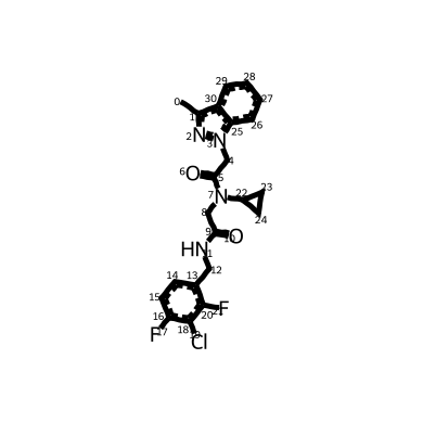 Cc1nn(CC(=O)N(CC(=O)NCc2ccc(F)c(Cl)c2F)C2CC2)c2ccccc12